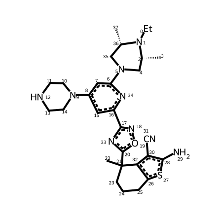 CCN1[C@H](C)CN(c2cc(N3CCNCC3)cc(-c3noc(C4(C)CCCc5sc(N)c(C#N)c54)n3)n2)C[C@@H]1C